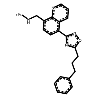 [CH2]CCNCc1ccc(-c2noc(CCCc3ccccc3)n2)c2cccnc12